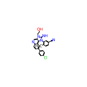 Cc1ccc(C#N)cc1-n1c(=N)n(CCO)c2cnc3ccc(-c4ccc(Cl)cc4)cc3c21